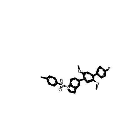 COc1cc(-c2ccc3c(ccn3S(=O)(=O)c3ccc(C)cc3)c2)c(OC)cc1-c1ccc(F)cc1